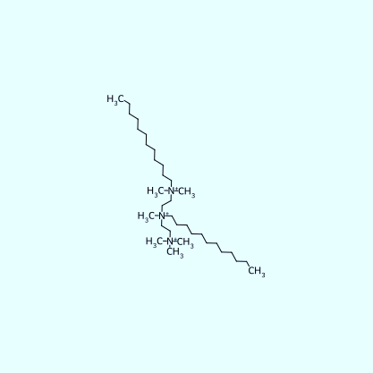 CCCCCCCCCCCC[N+](C)(C)CC[N+](C)(CCCCCCCCCCCC)CC[N+](C)(C)C